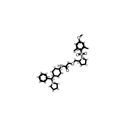 COc1cc(C)c(S(=O)(=O)N2CCCC2COCC(=O)NC2CCC(C(c3ccccc3)N3CCCC3)CC2)c(C)c1